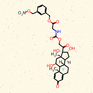 C[C@]12C=CC(=O)C=C1CC[C@H]1[C@@H]3C[C@@H](O)[C@](O)(C(=O)COC(=O)NCC(=O)OCc4cccc(CO[N+](=O)[O-])c4)[C@@]3(C)C[C@H](O)[C@@]12F